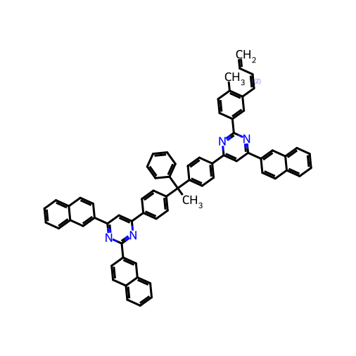 C=C/C=C\c1cc(-c2nc(-c3ccc(C(C)(c4ccccc4)c4ccc(-c5cc(-c6ccc7ccccc7c6)nc(-c6ccc7ccccc7c6)n5)cc4)cc3)cc(-c3ccc4ccccc4c3)n2)ccc1C